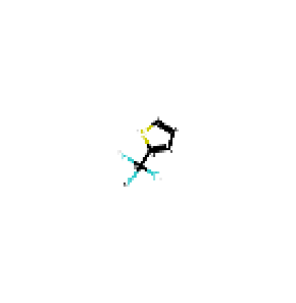 FC(F)(F)c1cc[c]s1